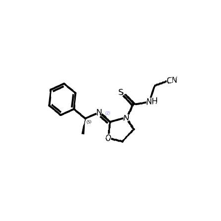 C[C@H](/N=C1\OCCN1C(=S)NCC#N)c1ccccc1